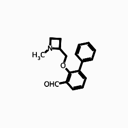 CN1CCC1COc1c(C=O)cccc1-c1ccccc1